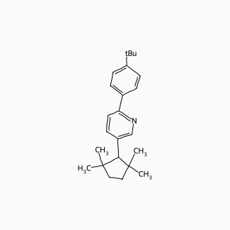 CC(C)(C)c1ccc(-c2ccc(C3C(C)(C)CCC3(C)C)cn2)cc1